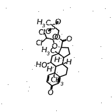 C[C@]12C=CC(=O)C=C1CC[C@@H]1[C@@H]2[C@@H](O)C[C@@]2(C)[C@H]1CC[C@]2(OC(=O)C(Cl)Cl)C(=O)OCS(C)(=O)=O